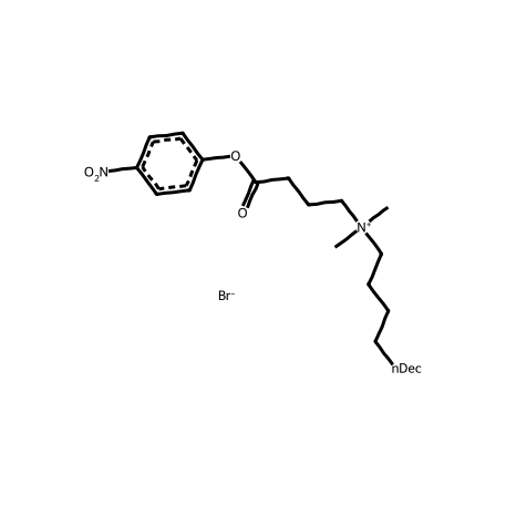 CCCCCCCCCCCCCC[N+](C)(C)CCCC(=O)Oc1ccc([N+](=O)[O-])cc1.[Br-]